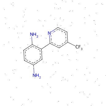 Nc1ccc(N)c(-c2cc(C(F)(F)F)ccn2)c1